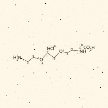 Cl.NCCOCCOCCNC(=O)O